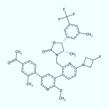 COc1ncc(-c2ccc(C(C)=O)cc2C)cc1-c1ccc(N2CC(F)C2)nc1CN1C(=O)O[C@H](c2cc(C)cc(C(F)(F)F)c2)[C@@H]1C